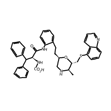 C[C@H]1NC[C@@H](CCc2ccccc2NC(=O)[C@@H](NC(=O)O)C(c2ccccc2)c2ccccc2)O[C@@H]1CSc1cccc2ncccc12